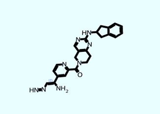 N=N/C=C(\N)c1ccnc(C(=O)N2CCc3nc(NC4Cc5ccccc5C4)ncc3C2)c1